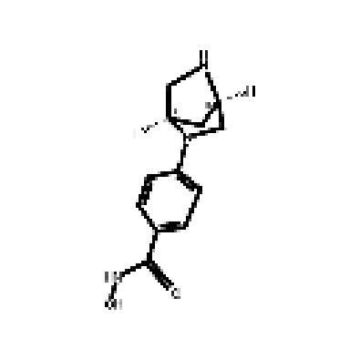 O=C(NO)c1ccc(N2C[C@H]3C[C@@H]2CN3)cc1